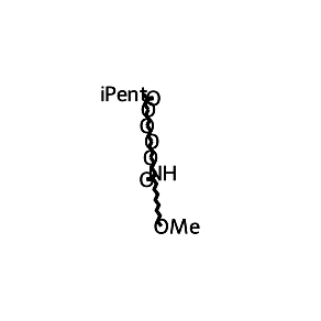 CCCC(C)C(=O)COCCOCCOCCOCCNC(=O)CCCCCCCCOC